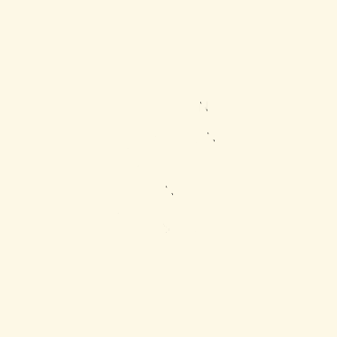 c1ccc2c(c1)Sc1ccccc1N2c1cc2ncncc2c2ccccc12